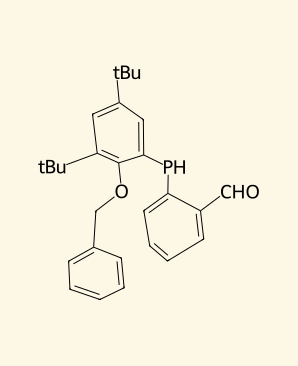 CC(C)(C)c1cc(Pc2ccccc2C=O)c(OCc2ccccc2)c(C(C)(C)C)c1